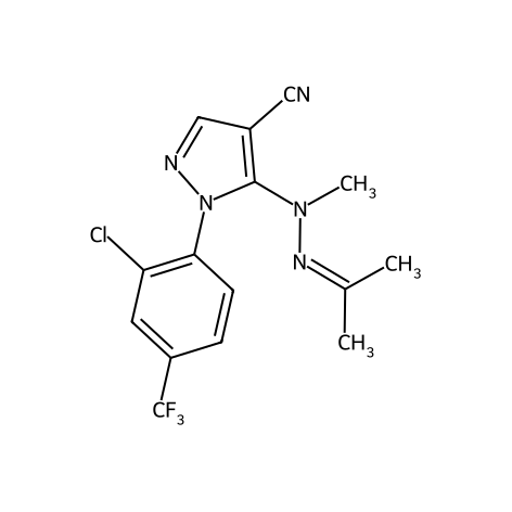 CC(C)=NN(C)c1c(C#N)cnn1-c1ccc(C(F)(F)F)cc1Cl